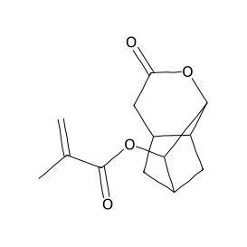 C=C(C)C(=O)OC1C2CC3CC(=O)OC1C3C2